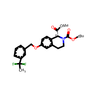 COC(=O)[C@H]1c2ccc(OCc3cccc(C(C)(F)F)c3)cc2CCN1C(=O)OC(C)(C)C